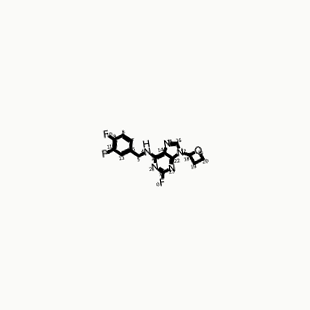 Fc1nc(NCc2ccc(F)c(F)c2)c2ncn(C3CCO3)c2n1